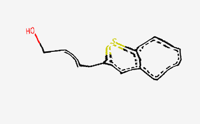 OCC=Cc1cc2ccccc2s1